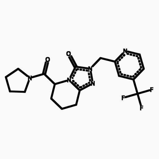 O=C(C1CCCc2nn(Cc3cc(C(F)(F)F)ccn3)c(=O)n21)N1CCCC1